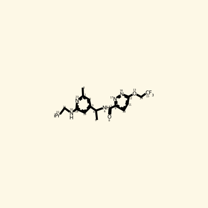 Cc1cc(C(C)NC(=O)c2ccc(OCC(F)(F)F)nn2)cc(NCC(C)C)n1